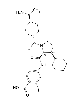 CC(N)[C@H]1CC[C@H](C(=O)N2CC[C@@H](C3CCCCC3)[C@H]2C(=O)Nc2ccc(C(=O)O)c(F)c2)CC1